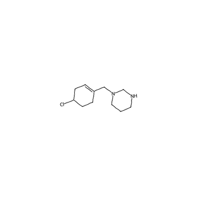 ClC1CC=C(CN2CCCNC2)CC1